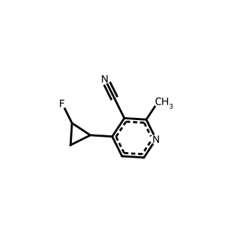 Cc1nccc(C2CC2F)c1C#N